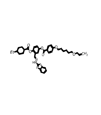 C=CCOCCCCCCOc1ccc(C(=O)Oc2ccc(OC(=O)C3CCC(CC)CC3)c(C=NNc3nc4ccccc4s3)c2)cc1